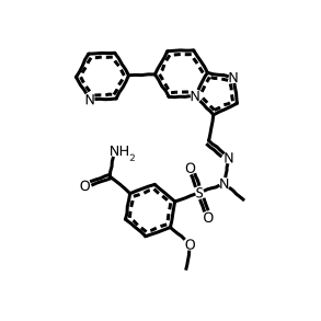 COc1ccc(C(N)=O)cc1S(=O)(=O)N(C)N=Cc1cnc2ccc(-c3cccnc3)cn12